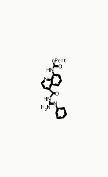 CCCCCC(=O)Nc1cccc2c(C(=O)NC(N)=Nc3ccccc3)ccnc12